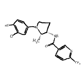 C[C@H]1[C@@H](NC(=O)c2ccc(C(F)(F)F)nc2)CCN1c1ccc(C#N)c(Cl)c1